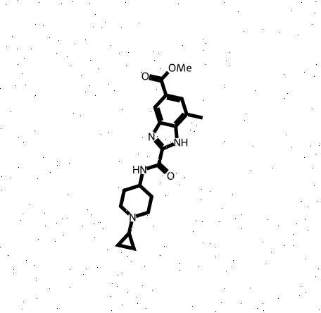 COC(=O)c1cc(C)c2[nH]c(C(=O)NC3CCN(C4CC4)CC3)nc2c1